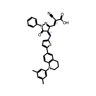 Cc1cc(C)cc(N2CCCc3cc(-c4ccc(/C=C5\C(=O)N(c6ccccc6)N=C5/C=C(\C#N)C(=O)O)s4)ccc32)c1